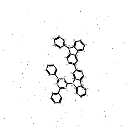 c1ccc(-c2nc(-c3ccccc3)nc(-n3c4ccccc4c4ccc(-c5cc6c7ccccc7n(-c7ccccc7)c6cn5)cc43)n2)cc1